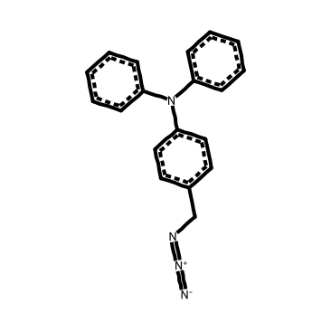 [N-]=[N+]=NCc1ccc(N(c2ccccc2)c2ccccc2)cc1